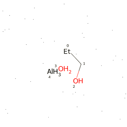 CCCO.O.[AlH3]